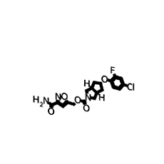 NC(=O)c1cc(COC(=O)N2C[C@H]3C[C@@H](Oc4ccc(Cl)cc4F)C[C@H]3C2)on1